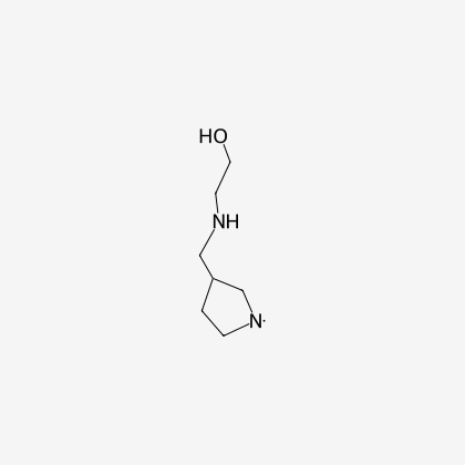 OCCNCC1CC[N]C1